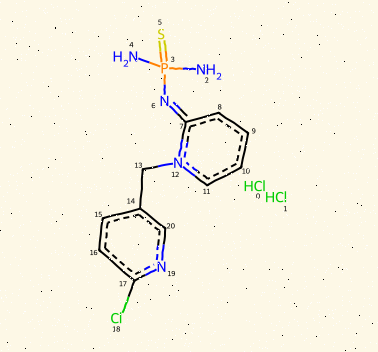 Cl.Cl.NP(N)(=S)N=c1ccccn1Cc1ccc(Cl)nc1